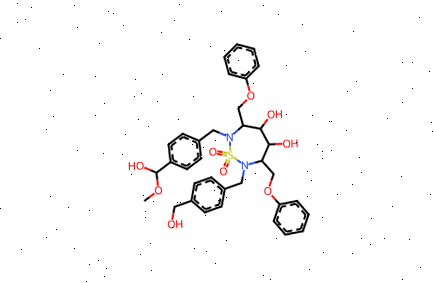 COC(O)c1ccc(CN2C(COc3ccccc3)C(O)C(O)C(COc3ccccc3)N(Cc3ccc(CO)cc3)S2(=O)=O)cc1